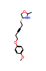 COc1ccc(OCCC#CCC[C@@H]2COC(C)N2)cc1